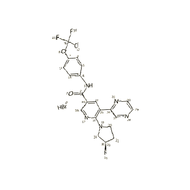 Br.O=C(Nc1ccc(OC(F)(F)Cl)cc1)c1cnc(N2CC[C@@H](F)C2)c(-c2cnccn2)c1